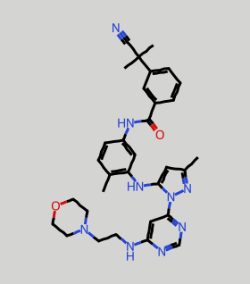 Cc1cc(Nc2cc(NC(=O)c3cccc(C(C)(C)C#N)c3)ccc2C)n(-c2cc(NCCN3CCOCC3)ncn2)n1